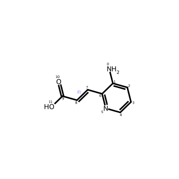 Nc1cccnc1/C=C/C(=O)O